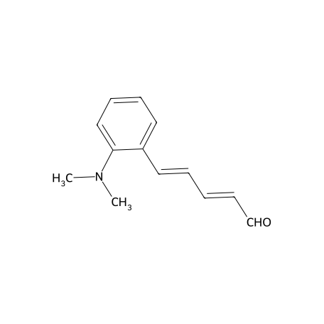 CN(C)c1ccccc1C=CC=CC=O